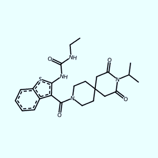 CCNC(=O)Nc1sc2ccccc2c1C(=O)N1CCC2(CC1)CC(=O)N(C(C)C)C(=O)C2